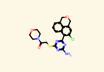 Nc1nc(SCC(=O)N2CCOCC2)nc(-c2c(Cl)cc3c4c(cccc24)COC3)n1